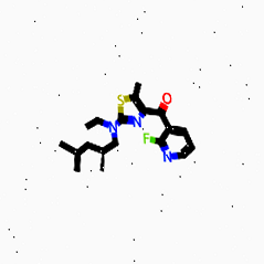 CCN(C[C@@H](C)CC(C)C)c1nc(C(=O)c2cccnc2F)c(C)s1